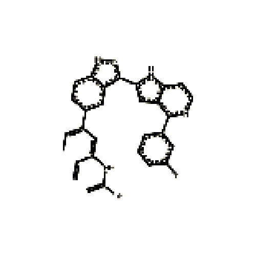 C=C/C(=C\C(=C/C)c1ccc2[nH]nc(-c3cc4c(-c5cccc(F)c5)nccc4[nH]3)c2c1)NC(=C)CCC